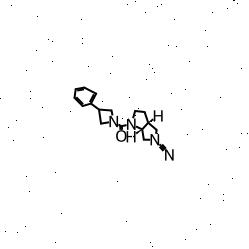 N#CN1C[C@H]2CCN(C(=O)N3CC(c4ccccc4)C3)[C@H]2C1